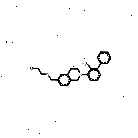 Cc1c(-c2ccccc2)cccc1N1CCc2cc(CNCCO)ccc2C1